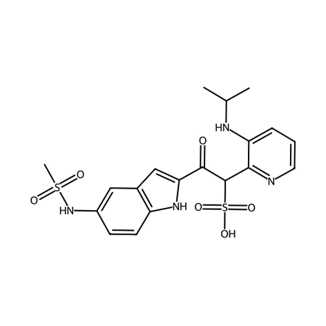 CC(C)Nc1cccnc1C(C(=O)c1cc2cc(NS(C)(=O)=O)ccc2[nH]1)S(=O)(=O)O